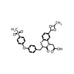 CC1OC(c2ccc3c(c2)N(CC(=O)O)C(=O)C(Cc2ccc(Oc4ccc(S(C)(=O)=O)cc4)cc2)S3)O1